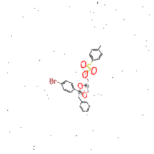 Cc1ccc(S(=O)(=O)OC[C@@H]2CO[C@@](Cc3ccccc3)(c3ccc(Br)cc3)O2)cc1